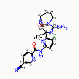 C[C@@]1(c2nc(NC(=O)c3ccc(C#N)cn3)ccc2F)C[S@]2(=O)=NCCCCN2C(N)=N1